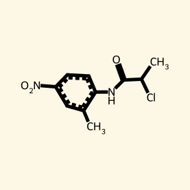 Cc1cc([N+](=O)[O-])ccc1NC(=O)C(C)Cl